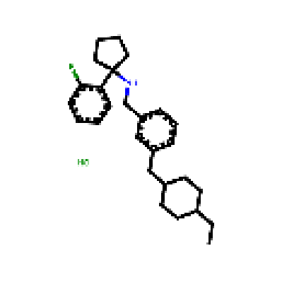 CCC1CCC(Cc2cccc(CNC3(c4ccccc4F)CCCC3)c2)CC1.Cl